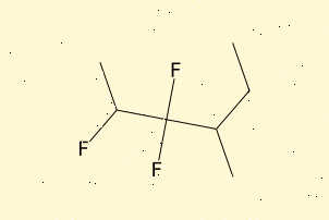 CCC(C)C(F)(F)C(C)F